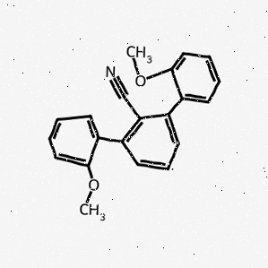 COc1ccccc1-c1c[c]cc(-c2ccccc2OC)c1C#N